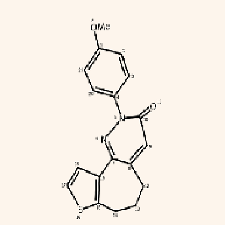 COc1ccc(-n2nc3c(cc2=O)CCCc2sccc2-3)cc1